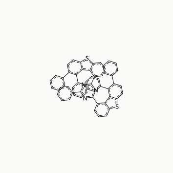 c1ccc(-c2nc(-c3cccc4sc5ccc(-c6ccccc6)c(-c6ccccc6)c5c34)nc(-c3cccc4sc5ccc(-c6ccccc6)c(-c6ccccc6)c5c34)n2)cc1